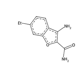 CCc1ccc2c(N)c(C(N)=O)oc2c1